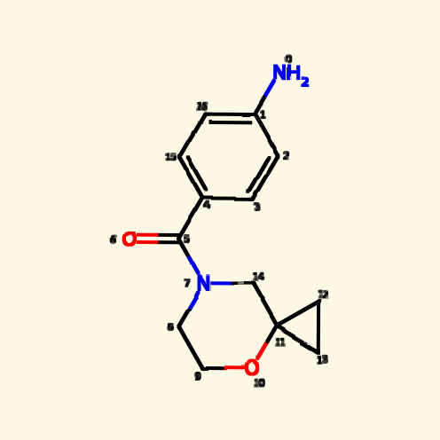 Nc1ccc(C(=O)N2CCOC3(CC3)C2)cc1